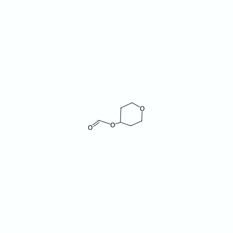 O=[C]OC1CCOCC1